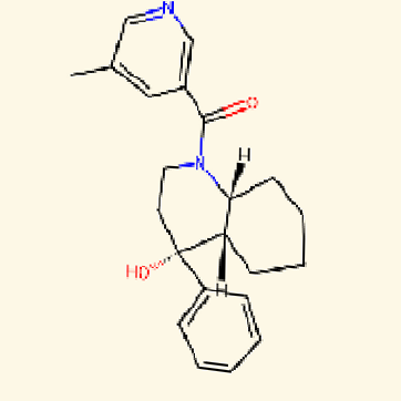 Cc1cncc(C(=O)N2CC[C@](O)(c3ccccc3)[C@H]3CCCC[C@H]32)c1